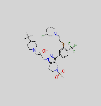 CC(C)(C)C1CCN(C[C@H](O)Cn2nc(-c3ccc(C(F)(F)F)c(SCCN4CCCC(F)C4)c3)c3c2CCN(S(C)(=O)=O)C3)CC1